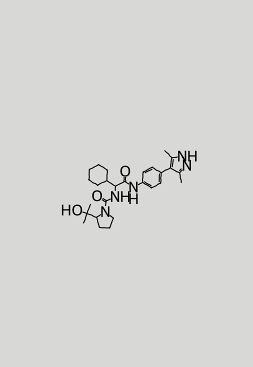 Cc1n[nH]c(C)c1-c1ccc(NC(=O)C(NC(=O)N2CCCC2C(C)(C)O)C2CCCCC2)cc1